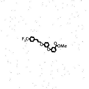 COC(=O)c1cccc(Oc2cccc(OCC=Cc3ccc(C(F)(F)F)cc3)c2)c1